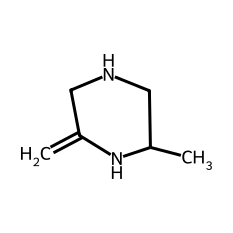 C=C1CNCC(C)N1